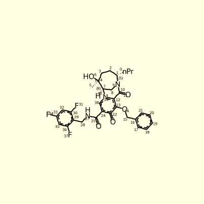 CCC[C@H]1CC[C@](C)(O)[C@H]2CN1C(=O)c1c(OCc3ccccc3)c(=O)c(C(=O)NCc3c(F)cc(F)cc3F)cn12